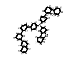 c1cc(-c2ccc(N(c3ccc(-c4cccc5c4oc4ccccc45)cc3)c3ccc4oc5ccccc5c4c3)cc2)cc(-c2cccc(-c3ccc4ccccc4c3)c2)c1